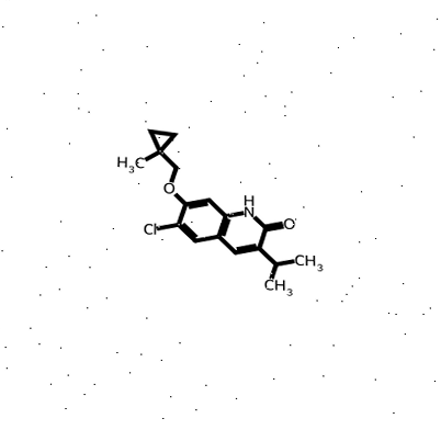 CC(C)c1cc2cc(Cl)c(OCC3(C)CC3)cc2[nH]c1=O